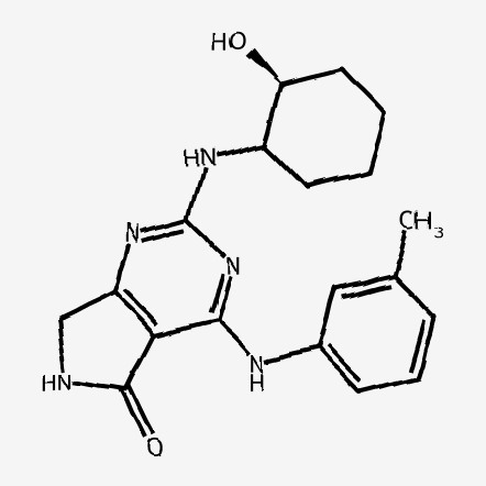 Cc1cccc(Nc2nc(NC3CCCC[C@@H]3O)nc3c2C(=O)NC3)c1